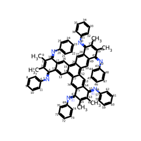 Cc1c(C)c(=Nc2ccccc2)c2cc3c(cc2c1=Nc1ccccc1)c1cc2c(=Nc4ccccc4)c(C)c(C)c(=Nc4ccccc4)c2cc1c1cc2/c(=N/c4ccccc4)c(C)c(C)/c(=N\c4ccccc4)c2cc31